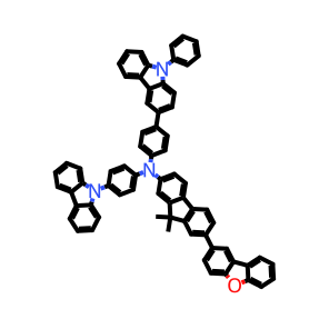 CC1(C)c2cc(-c3ccc4oc5ccccc5c4c3)ccc2-c2ccc(N(c3ccc(-c4ccc5c(c4)c4ccccc4n5-c4ccccc4)cc3)c3ccc(-n4c5ccccc5c5ccccc54)cc3)cc21